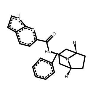 O=C(N[C@@H]1C[C@H]2CC[C@@H](C1)N2Cc1ccccc1)c1ccc2cc[nH]c2n1